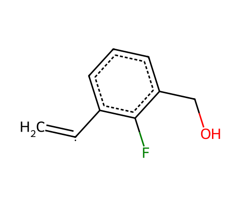 C=[C]c1cccc(CO)c1F